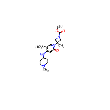 CN1CCC(Nc2cc(=O)n(C3(C)CN(C(=O)OC(C)(C)C)C3)cc2C(=O)O)CC1